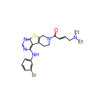 CCN(CC)C/C=C/C(=O)N1CCc2c(sc3ncnc(Nc4cccc(Br)c4)c23)C1